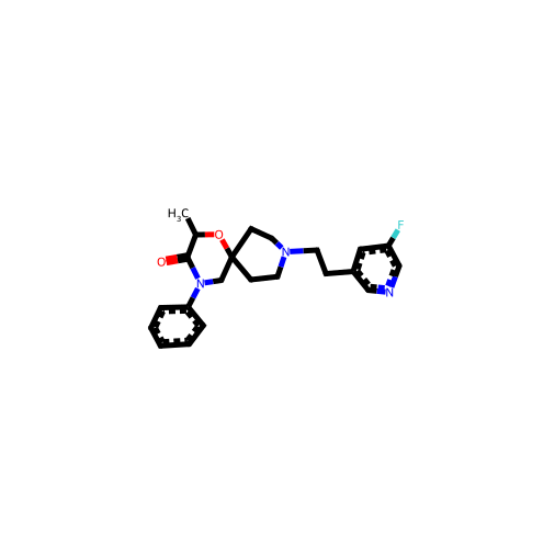 CC1OC2(CCN(CCc3cncc(F)c3)CC2)CN(c2ccccc2)C1=O